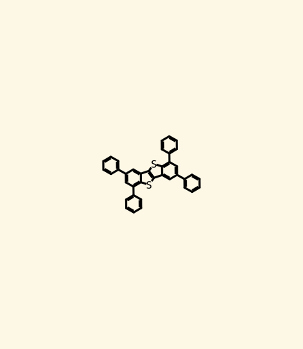 c1ccc(-c2cc(-c3ccccc3)c3sc4c5cc(-c6ccccc6)cc(-c6ccccc6)c5sc4c3c2)cc1